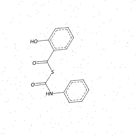 O=C(Nc1ccccc1)SC(=O)c1ccccc1O